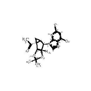 CC(=O)[C@]12CC1[C@@H](n1cnc3c(Cl)cc(I)nc31)[C@@H]1OC(C)(C)OC12